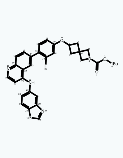 CC(C)(C)OC(=O)N1CC2(CC(Oc3ccc(-c4ccc5nccc(Nc6ccc7scnc7c6)c5c4)c(F)c3)C2)C1